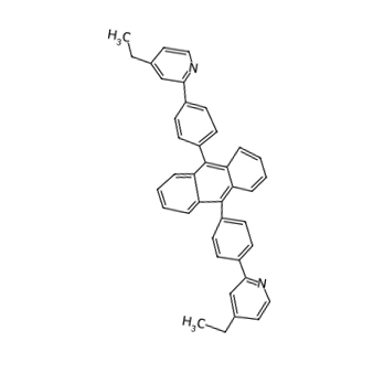 CCc1ccnc(-c2ccc(-c3c4ccccc4c(-c4ccc(-c5cc(CC)ccn5)cc4)c4ccccc34)cc2)c1